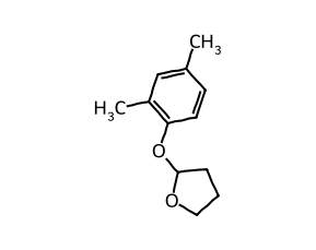 Cc1ccc(OC2CCCO2)c(C)c1